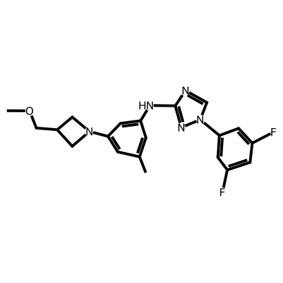 COCC1CN(c2cc(C)cc(Nc3ncn(-c4cc(F)cc(F)c4)n3)c2)C1